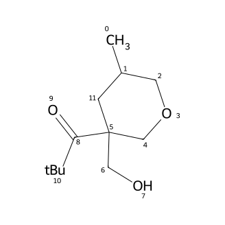 CC1COCC(CO)(C(=O)C(C)(C)C)C1